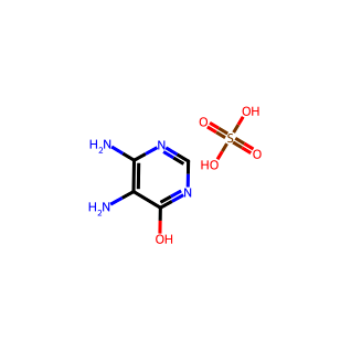 Nc1ncnc(O)c1N.O=S(=O)(O)O